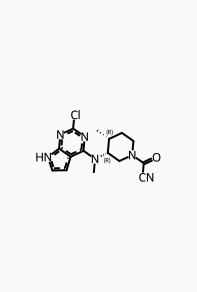 C[C@@H]1CCN(C(=O)C#N)C[C@@H]1N(C)c1nc(Cl)nc2[nH]ccc12